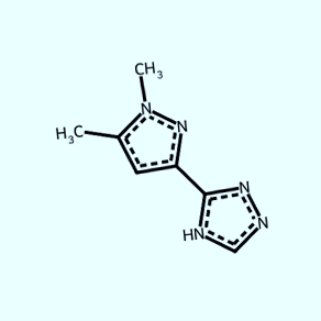 Cc1cc(-c2nnc[nH]2)nn1C